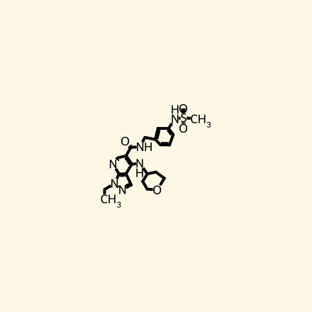 CCn1ncc2c(NC3CCOCC3)c(C(=O)NCc3cccc(NS(C)(=O)=O)c3)cnc21